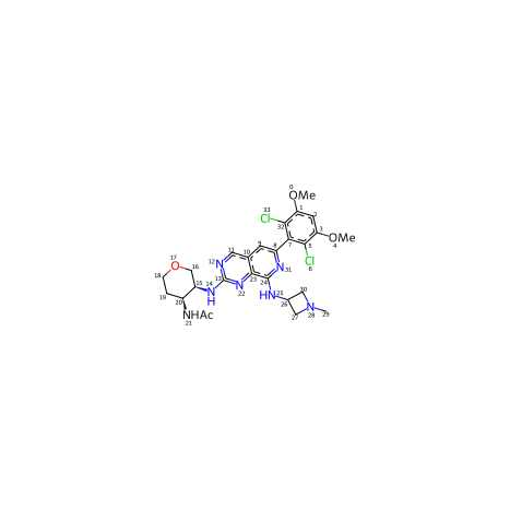 COc1cc(OC)c(Cl)c(-c2cc3cnc(N[C@@H]4COCC[C@@H]4NC(C)=O)nc3c(NC3CN(C)C3)n2)c1Cl